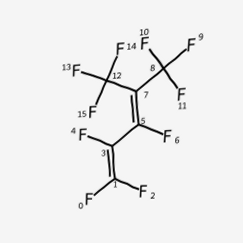 FC(F)=C(F)C(F)=C(C(F)(F)F)C(F)(F)F